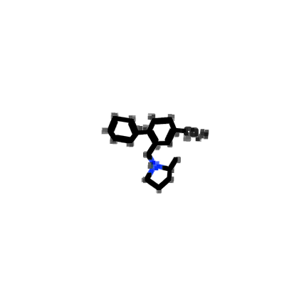 CC1CCCN1Cc1cc(C(=O)O)ccc1-c1ccccc1